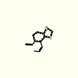 C=Cc1ccc2ncsc2c1/C=C\C